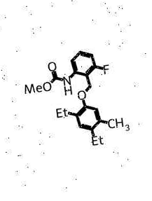 CCc1cc(CC)c(OCc2c(F)cccc2NC(=O)OC)cc1C